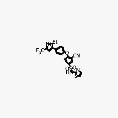 CCn1nc(C(F)(F)F)cc1-c1ccc(Oc2ccc(S(=O)(=O)Nc3nccs3)cc2C#N)cc1